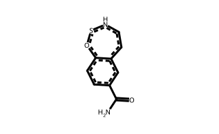 NC(=O)c1ccc2os[nH]ccc2c1